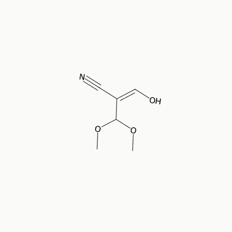 COC(OC)/C(C#N)=C\O